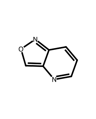 c1cnc2conc2c1